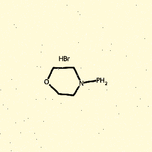 Br.PN1CCOCC1